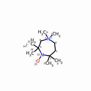 CC1(C)CC[N+](C)(C)CC(C)(C)N1[O].[I-]